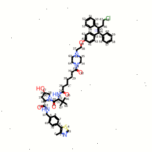 Cc1ncsc1-c1ccc(CNC(=O)[C@@H]2C[C@@H](O)CN2C(=O)[C@@H](NC(=O)CCCCCC(=O)N2CCN(CCOc3ccc(/C(=C(/CCCl)c4ccccc4)c4ccccc4)cc3)CC2)C(C)(C)C)cc1